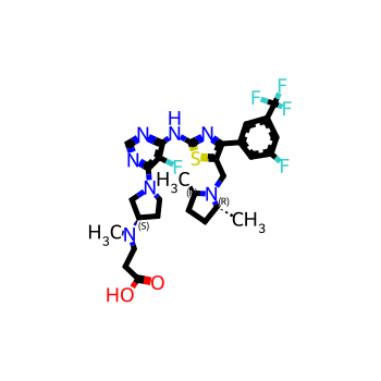 C[C@@H]1CC[C@@H](C)N1Cc1sc(Nc2ncnc(N3CC[C@H](N(C)CCC(=O)O)C3)c2F)nc1-c1cc(F)cc(C(F)(F)F)c1